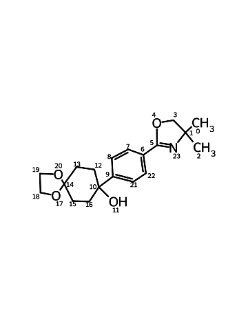 CC1(C)COC(c2ccc(C3(O)CCC4(CC3)OCCO4)cc2)=N1